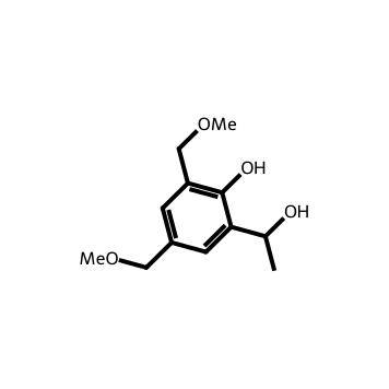 COCc1cc(COC)c(O)c(C(C)O)c1